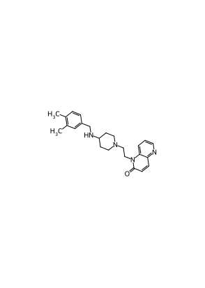 Cc1ccc(CNC2CCN(CCn3c(=O)ccc4ncccc43)CC2)cc1C